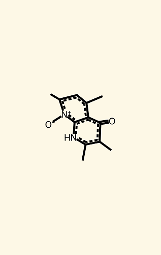 Cc1[nH]c2c(c(C)cc(C)[n+]2[O-])c(=O)c1C